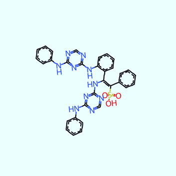 O=S(=O)(O)C(=C(Nc1ncnc(Nc2ccccc2)n1)c1ccccc1Nc1ncnc(Nc2ccccc2)n1)c1ccccc1